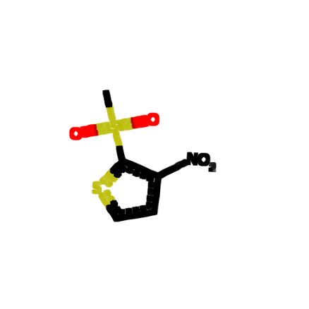 CS(=O)(=O)c1sccc1[N+](=O)[O-]